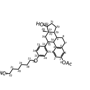 CC(=O)Oc1ccc2c(c1)CCC1C2[C@@H](c2ccc(OCCCCCCC#N)cc2)C[C@@]2(C)C1CC[C@@H]2O